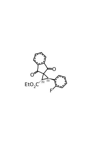 CCOC(=O)[C@H]1[C@H](c2ccccc2F)C12C(=O)c1ccccc1C2=O